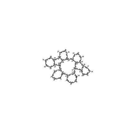 c1ccc2c(c1)c1ccccc1n1c3ccccc3c3cccc(c4cccc5c6ccccc6n2c54)c31